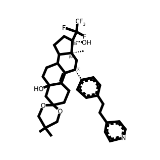 CC1(C)COC2(CCC3=C4C(CCC3(O)C2)C2CC[C@@](O)(C(F)(F)C(F)(F)F)[C@@]2(C)C[C@@H]4c2ccc(CCc3ccncc3)cc2)OC1